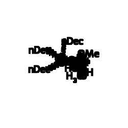 CCCCCCCCCCCCCCCCCCOc1cc(COC(=O)CCC(=O)O[C@]2(O)C[C@H](n3cc(C)c(=O)[nH]c3=O)O[C@@H]2COC(c2ccccc2)(c2ccc(OC)cc2)c2ccc(OC)cc2)cc(OCCCCCCCCCCCCCCCCCC)c1OCCCCCCCCCCCCCCCCCC